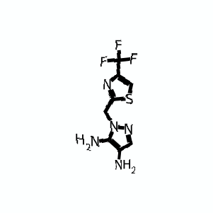 Nc1cnn(Cc2nc(C(F)(F)F)cs2)c1N